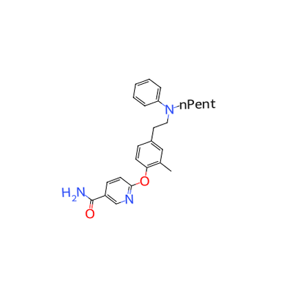 CCCCCN(CCc1ccc(Oc2ccc(C(N)=O)cn2)c(C)c1)c1ccccc1